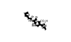 Cc1nnc(C2=C(C(=O)O)N3C(=O)C(NC(=O)Cc4cccs4)[C@H]3SC2)s1.[NaH]